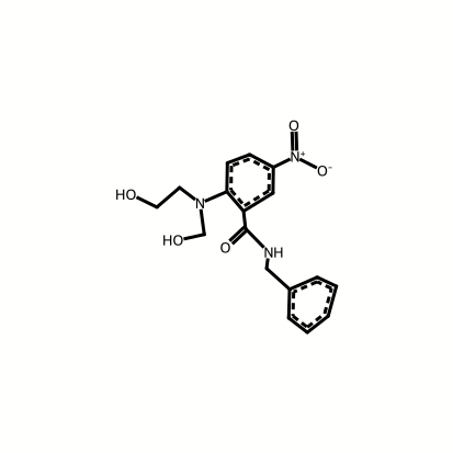 O=C(NCc1ccccc1)c1cc([N+](=O)[O-])ccc1N(CO)CCO